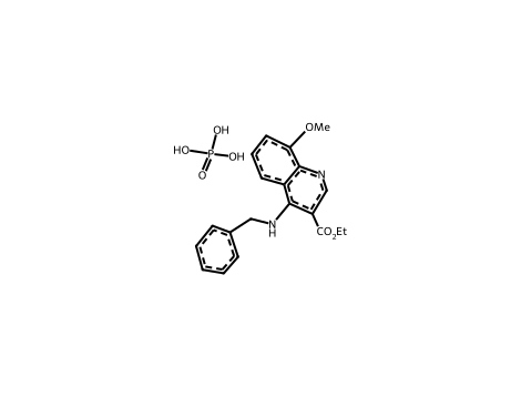 CCOC(=O)c1cnc2c(OC)cccc2c1NCc1ccccc1.O=P(O)(O)O